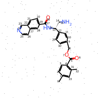 Cc1ccc(C(=O)OCc2ccc([C@@H](CN)NC(=O)c3ccc4cnccc4c3)cc2)c(C)c1